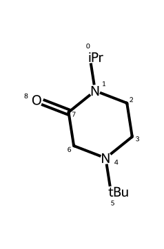 CC(C)N1CCN(C(C)(C)C)CC1=O